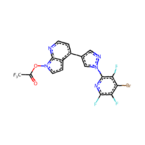 O=C(On1ccc2c(-c3cnn(-c4nc(F)c(F)c(Br)c4F)c3)ccnc21)C(F)(F)F